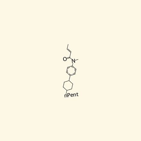 C/C=C/C(=O)N(C)c1ccc(C2CCC(CCCCC)CC2)cc1